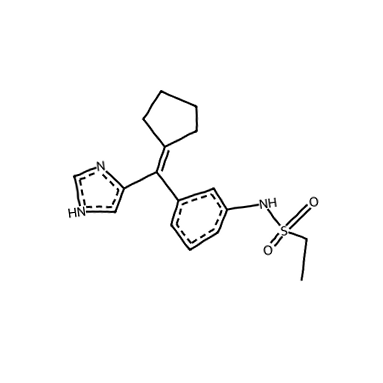 CCS(=O)(=O)Nc1cccc(C(=C2CCCC2)c2c[nH]cn2)c1